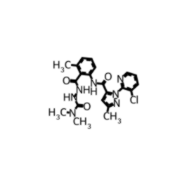 Cc1cc(C(=O)Nc2cccc(C)c2C(=O)NNC(=O)N(C)C)n(-c2ncccc2Cl)n1